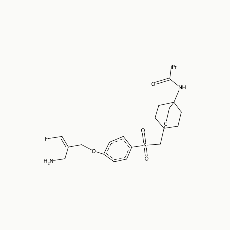 CC(C)C(=O)NC12CCC(CS(=O)(=O)c3ccc(OC/C(=C/F)CN)cc3)(CC1)CC2